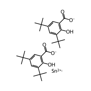 CC(C)(C)c1cc(C(=O)[O-])c(O)c(C(C)(C)C)c1.CC(C)(C)c1cc(C(=O)[O-])c(O)c(C(C)(C)C)c1.[Sn+2]